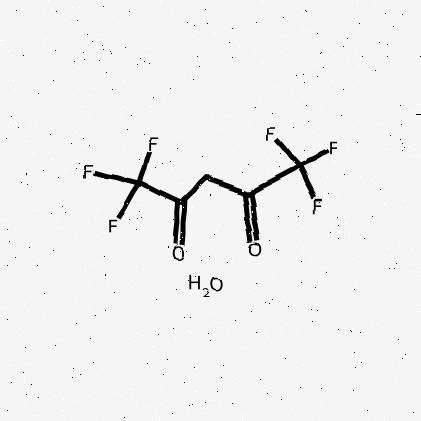 O.O=C(CC(=O)C(F)(F)F)C(F)(F)F